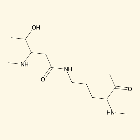 CNC(CCCNC(=O)CC(NC)C(C)O)C(C)=O